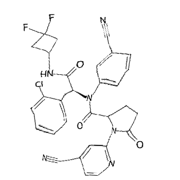 N#Cc1cccc(N(C(=O)C2CCC(=O)N2c2cc(C#N)ccn2)[C@H](C(=O)NC2CC(F)(F)C2)c2ccccc2Cl)c1